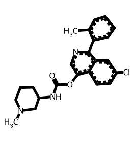 Cc1ccccc1-c1ncc(OC(=O)NC2CCCN(C)C2)c2ccc(Cl)cc12